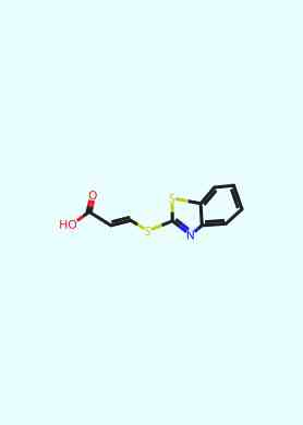 O=C(O)C=CSc1nc2ccccc2s1